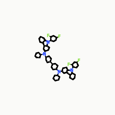 Fc1ccc(-n2c3ccccc3c3cc(N(c4ccccc4)c4ccc(-c5ccc(N(c6ccccc6)c6ccc7c(c6)c6ccccc6n7-c6ccc(F)cc6F)cc5)cc4)ccc32)c(F)c1